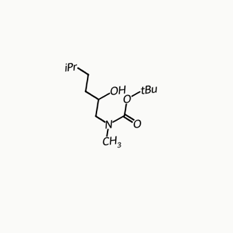 CC(C)CCC(O)CN(C)C(=O)OC(C)(C)C